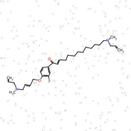 C=CCN(C)C/C=C/COc1ccc(C(=O)/C=C/CCCCCCCCCCN(C)CC=C)cc1F